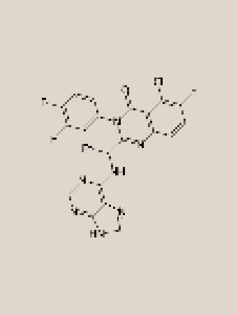 CCC(Nc1ncnc2[nH]cnc12)c1nc2ccc(F)c(Cl)c2c(=O)n1-c1ccc(F)c(F)c1